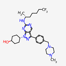 C[C@H](CCCCC(F)(F)F)Nc1ncc2c(-c3ccc(CN4CCN(C)CC4)cc3)nn([C@H]3CC[C@H](O)CC3)c2n1